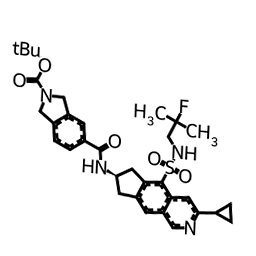 CC(C)(F)CNS(=O)(=O)c1c2c(cc3cnc(C4CC4)cc13)C[C@@H](NC(=O)c1ccc3c(c1)CN(C(=O)OC(C)(C)C)C3)C2